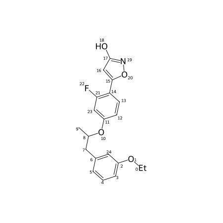 CCOc1cccc(CC(C)Oc2ccc(-c3cc(O)no3)c(F)c2)c1